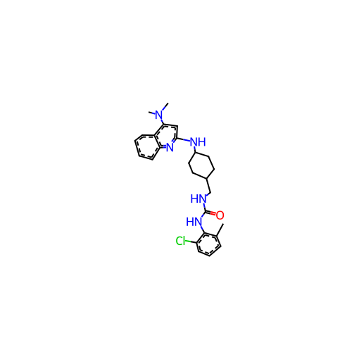 Cc1cccc(Cl)c1NC(=O)NCC1CCC(Nc2cc(N(C)C)c3ccccc3n2)CC1